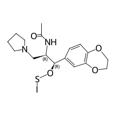 CC(=O)N[C@H](CN1CCCC1)[C@H](OSI)c1ccc2c(c1)OCCO2